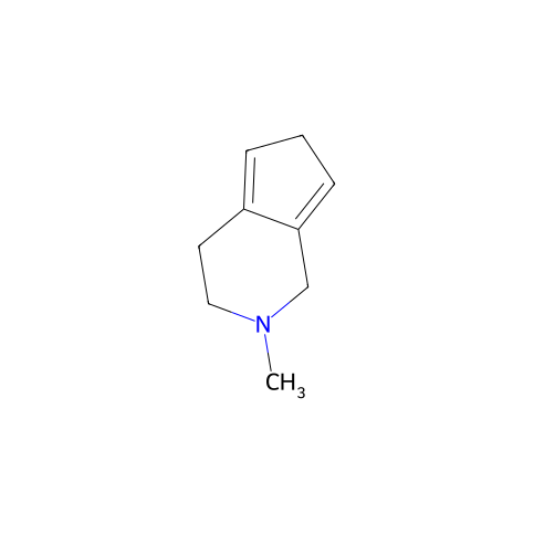 CN1CCC2=CCC=C2C1